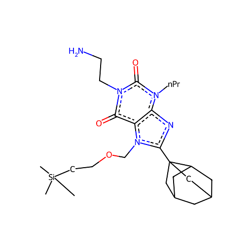 CCCn1c(=O)n(CCN)c(=O)c2c1nc(C13CC4CC(CC1C4)C3)n2COCC[Si](C)(C)C